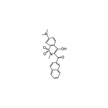 CN(C)c1ccc2c(c1)S(=O)(=O)N(C)C(C(=O)c1ccc3ccccc3c1)=C2O